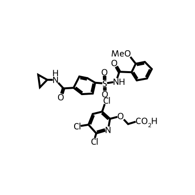 COc1ccccc1C(=O)NS(=O)(=O)c1ccc(C(=O)NC2CC2)cc1.O=C(O)COc1nc(Cl)c(Cl)cc1Cl